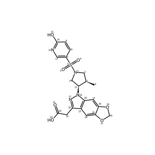 C[C@@H]1CN(S(=O)(=O)c2ccc(O)nc2)C[C@@H]1n1nc(CC(=O)O)c2cc3c(cc21)OCO3